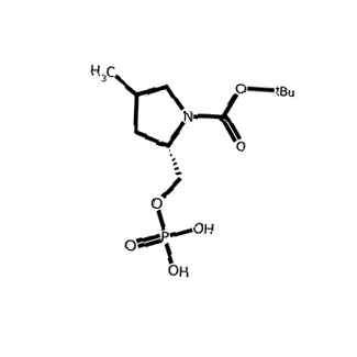 CC1C[C@@H](COP(=O)(O)O)N(C(=O)OC(C)(C)C)C1